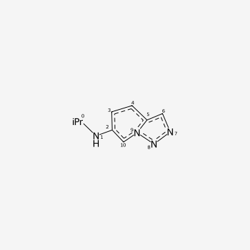 CC(C)Nc1ccc2cnnn2c1